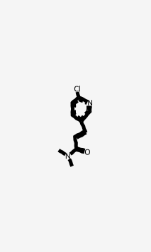 CN(C)C(=O)C=Cc1ccc(Cl)nc1